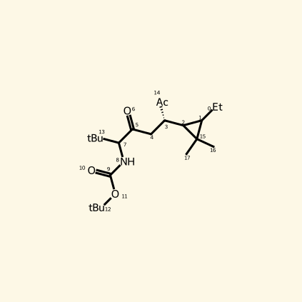 CCC1C([C@H](CC(=O)C(NC(=O)OC(C)(C)C)C(C)(C)C)C(C)=O)C1(C)C